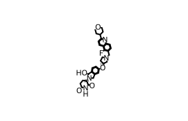 O=C1CC[C@H](N2Cc3cc(O[C@H]4CCN(Cc5ccc6nc(C7CCOCC7)ccc6c5F)C4)ccc3C2O)C(=O)N1